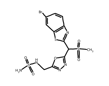 CS(=O)(=O)C(c1nnc(CNS(N)(=O)=O)o1)c1nc2ccc(Br)cc2s1